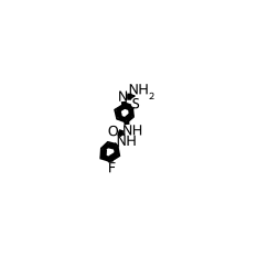 Nc1nc2ccc(NC(=O)Nc3cccc(F)c3)cc2s1